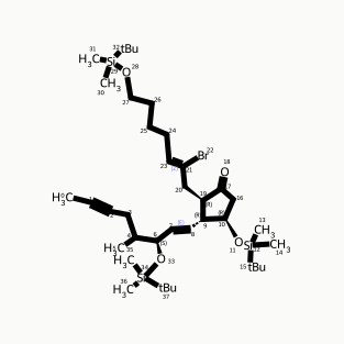 CC#CCC(C)[C@@H](/C=C/[C@H]1[C@H](O[Si](C)(C)C(C)(C)C)CC(=O)[C@@H]1C/C(Br)=C/CCCCO[Si](C)(C)C(C)(C)C)O[Si](C)(C)C(C)(C)C